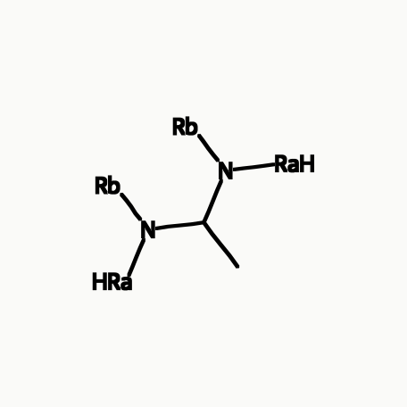 CC([N]([Rb])[RaH])[N]([Rb])[RaH]